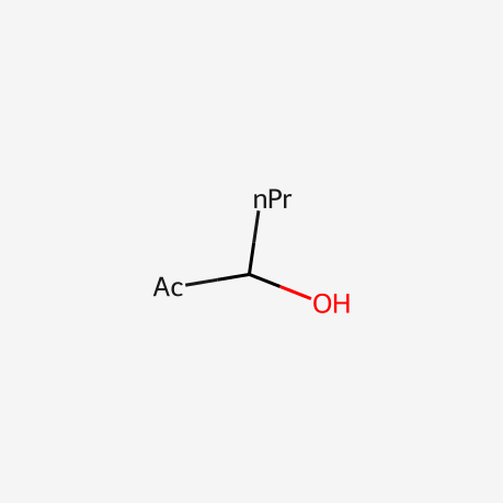 [CH2]CCC(O)C(C)=O